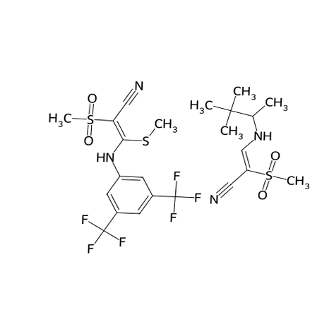 CC(NC=C(C#N)S(C)(=O)=O)C(C)(C)C.CSC(Nc1cc(C(F)(F)F)cc(C(F)(F)F)c1)=C(C#N)S(C)(=O)=O